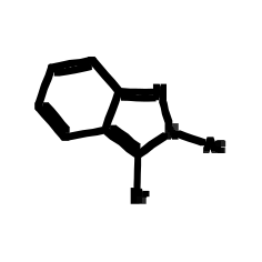 CC(=O)n1nc2ccccc2c1Br